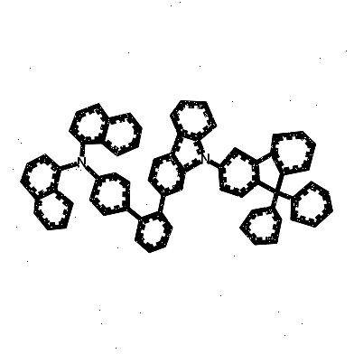 c1ccc(C2(c3ccccc3)c3ccccc3-c3cc(-n4c5ccccc5c5ccc(-c6ccccc6-c6ccc(N(c7cccc8ccccc78)c7cccc8ccccc78)cc6)cc54)ccc32)cc1